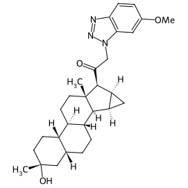 COc1ccc2nnn(CC(=O)[C@H]3[C@H]4C[C@H]4[C@H]4[C@@H]5CC[C@@H]6C[C@](C)(O)CC[C@@H]6[C@H]5CC[C@@]43C)c2c1